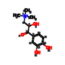 C[N+](C)(C)CC(O)C(=O)c1ccc(O)c(O)c1